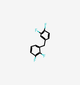 Fc1ccc(Cc2cccc(F)c2F)cc1F